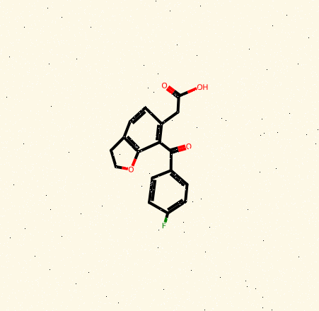 O=C(O)Cc1ccc2c(c1C(=O)c1ccc(F)cc1)OCC2